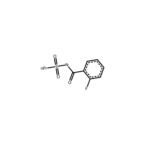 CCCS(=O)(=O)[N]C(=O)c1ccccc1F